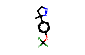 CC1(c2ccc(OC(F)(F)F)cc2)CCN=N1